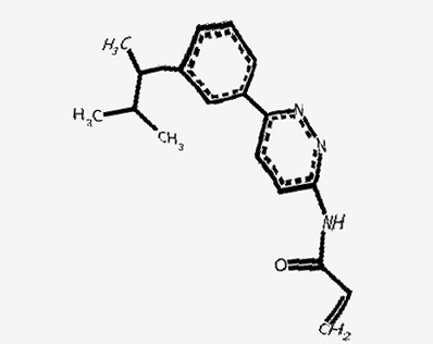 C=CC(=O)Nc1ccc(-c2cccc(C(C)C(C)C)c2)nn1